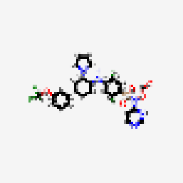 O=CON(c1ccncn1)S(=O)(=O)c1cc(F)c(N[C@H]2CC[C@H](c3cccc(OC(F)(F)F)c3)C[C@@H]2N2CCCC2)cc1F